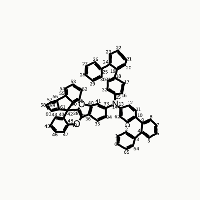 c1ccc(-c2ccccc2-c2ccc(N(c3ccc(-c4ccccc4-c4ccccc4)cc3)c3ccc4c5c(oc4c3)C3(c4ccccc4O5)c4ccccc4-c4ccccc43)cc2)cc1